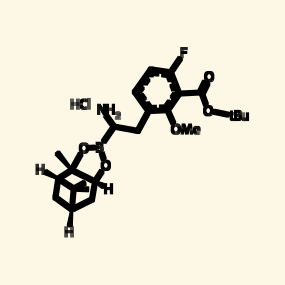 COc1c(CC(N)B2O[C@@H]3C[C@@H]4C[C@@H](C4(C)C)[C@]3(C)O2)ccc(F)c1C(=O)OC(C)(C)C.Cl